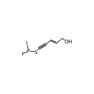 OC/C=C/C#CSP(I)I